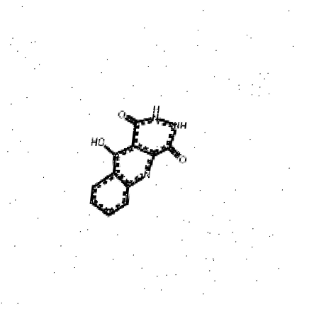 O=c1[nH][nH]c(=O)c2c(O)c3ccccc3nc12